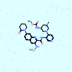 C[C@@H]1C[C@H](NC(=O)OC(C)(C)C)CN(c2ccncc2NC(=O)c2nc3cc(N4CCCCC4=O)ccc3cc2NC(=O)O)C1